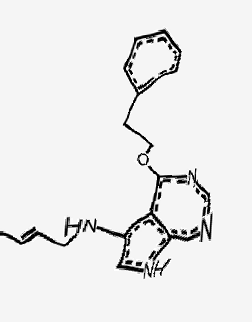 C/C=C/CNc1c[nH]c2ncnc(OCCc3ccccc3)c12